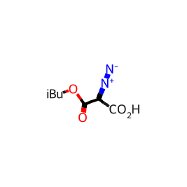 CCC(C)OC(=O)C(=[N+]=[N-])C(=O)O